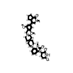 COc1cc(-c2cn(C)c(=O)c3c2CCC3)cc(OC)c1CN1CCC2(CC1)CCN(c1cccc3c1n(C)c(=O)n3C1CCC(=O)NC1=O)CC2